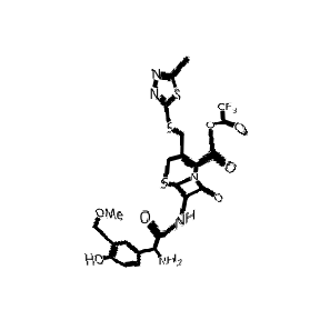 COCc1cc(C(N)C(=O)NC2C(=O)N3C(C(=O)OC(=O)C(F)(F)F)=C(CSc4nnc(C)s4)CSC23)ccc1O